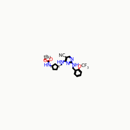 CC(C)(C)OC(=O)N[C@@H]1CC[C@@H](CNc2nc(NCc3ccccc3OC(F)(F)F)ncc2C#N)C1